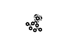 c1ccc(N(c2ccccc2)c2ccc(-c3nc4c5nccnc5c5nccnc5c4nc3-c3ccc(N(c4ccccc4)c4ccccc4)cc3)cc2)cc1